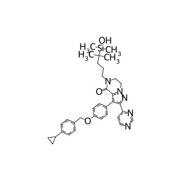 CC(C)(CCCN1CCn2nc(-c3ccncn3)c(-c3ccc(OCc4ccc(C5CC5)cc4)cc3)c2C1=O)[Si](C)(C)O